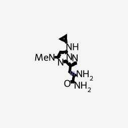 CNc1cc(NC2CC2)n2ncc(/C=C(\N)C(N)=O)c2n1